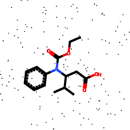 CCOC(=O)N(c1ccccc1)C(CC(=O)O)C(C)C